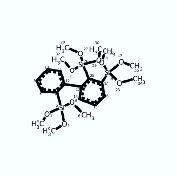 CO[Si](OC)(OC)c1ccccc1-c1cccc([Si](OC)(OC)OC)c1[Si](OC)(OC)OC